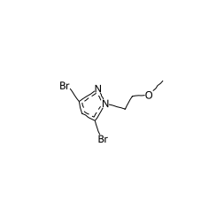 COCCn1nc(Br)cc1Br